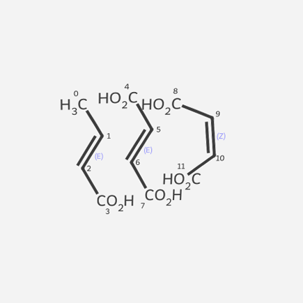 C/C=C/C(=O)O.O=C(O)/C=C/C(=O)O.O=C(O)/C=C\C(=O)O